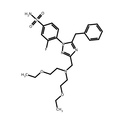 CCOCCN(CCOCC)Cc1nc(Cc2ccccc2)n(-c2ccc(S(N)(=O)=O)cc2F)n1